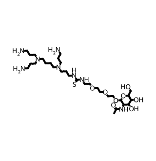 CC(=O)NC1C(OCCOCCOCCNC(=S)NCCCN(CCCN)CCCCN(CCCN)CCCN)OC(CO)C(O)C1O